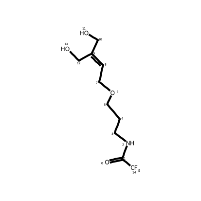 O=C(NCCCOCC=C(CO)CO)C(F)(F)F